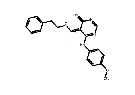 N=C1N=CN=C(Nc2ccc(OC(F)(F)F)cc2)/C1=C/NCCc1ccccc1